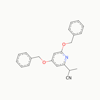 CC(C#N)c1cc(OCc2ccccc2)cc(OCc2ccccc2)n1